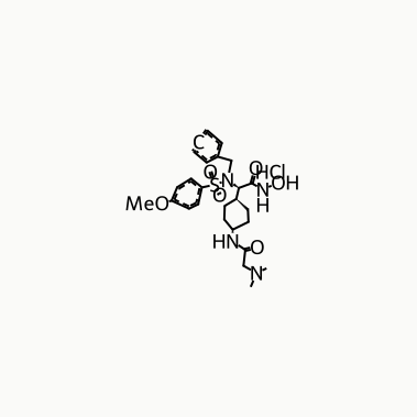 COc1ccc(S(=O)(=O)N(Cc2ccccc2)[C@@H](C(=O)NO)[C@H]2CC[C@H](NC(=O)CN(C)C)CC2)cc1.Cl